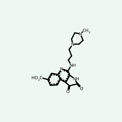 CN1CCN(CCCNc2nc3cc(C(=O)O)ccc3c3c2NC(=O)C3=O)CC1